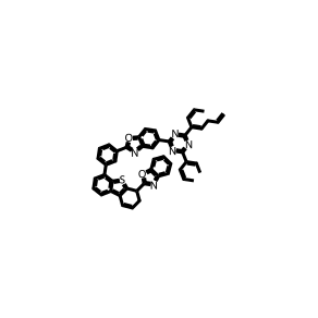 C=CC/C=C(\C=C/C)c1nc(C(/C=C\C)=C/C)nc(-c2ccc3oc(-c4cccc(-c5cccc6c7c(sc56)C(c5nc6ccccc6o5)CC=C7)c4)nc3c2)n1